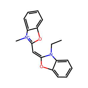 CCN1C(=Cc2oc3ccccc3[n+]2C)Oc2ccccc21